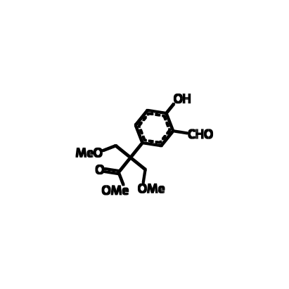 COCC(COC)(C(=O)OC)c1ccc(O)c(C=O)c1